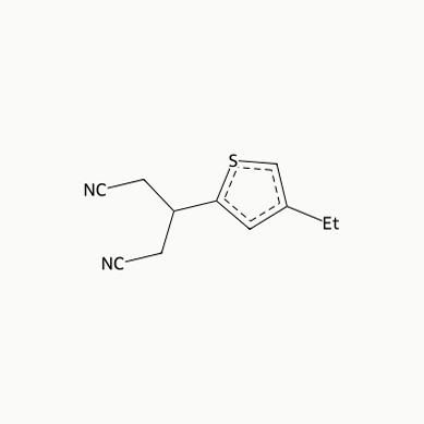 CCc1csc(C(CC#N)CC#N)c1